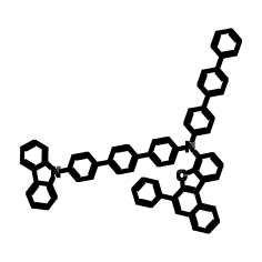 c1ccc(-c2ccc(-c3ccc(N(c4ccc(-c5ccc(-c6ccc(-n7c8ccccc8c8ccccc87)cc6)cc5)cc4)c4cccc5c4oc4c(-c6ccccc6)cc6ccccc6c45)cc3)cc2)cc1